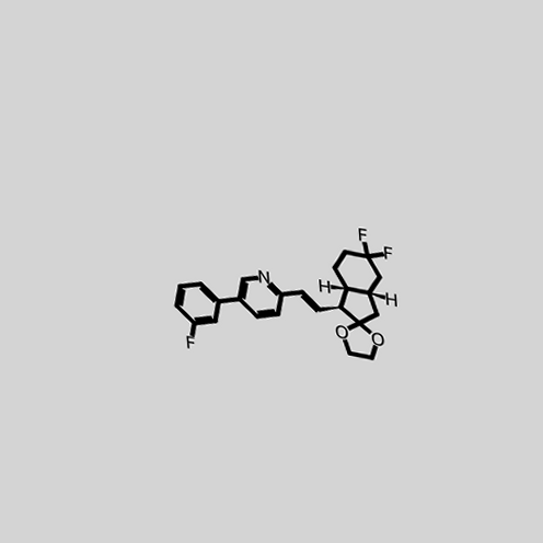 Fc1cccc(-c2ccc(/C=C/[C@H]3[C@@H]4CCC(F)(F)C[C@@H]4CC34OCCO4)nc2)c1